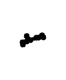 C(=C\c1ccc2cc(N3CCCc4ccccc43)ccc2c1)/c1ccc2c(c1)C1(Cc3ccccc3C1)c1cc(N3CCCc4ccccc43)ccc1-2